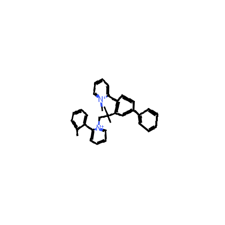 Cc1ccccc1-c1cccc[n+]1CC(C)(C)c1cc(-c2ccccc2)ccc1-c1cccc[n+]1C